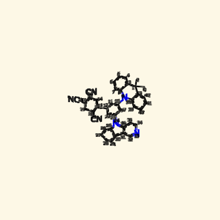 CC1(C)c2ccccc2N(c2cc(-c3cc(C#N)c(C#N)cc3C#N)cc(-n3c4ccccc4c4cnccc43)c2)c2ccccc21